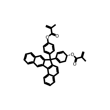 C=C(C)C(=O)Oc1ccc(C2(C3=CC[C@@H](OC(=O)C(=C)C)C=C3)c3cc4ccccc4cc3-c3c2ccc2ccccc32)cc1